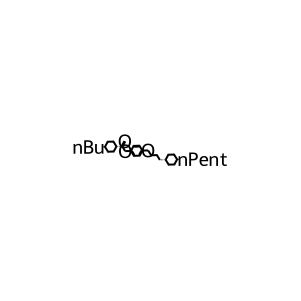 CCCCC[C@H]1CC[C@H](CCCOc2ccc(OC(=O)[C@H]3CC[C@H](CCCC)CC3)cc2)CC1